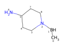 CBN1CCC(N)CC1